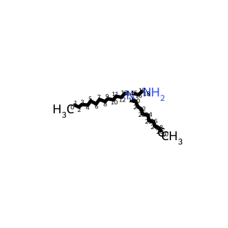 CCCCCCCCCCCCCCN(CCCN)CCCCCCCCCCCC